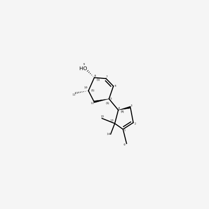 CC1=CC[C@H]([C@@H]2C=C[C@@H](O)[C@@H](C)C2)C1(C)C